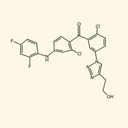 O=C(c1ccc(Nc2ccc(F)cc2F)cc1Cl)c1cc(-n2cc(CCO)nn2)ccc1Cl